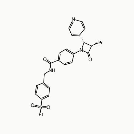 CCS(=O)(=O)c1ccc(CNC(=O)c2ccc(N3C(=O)[C@H](C(C)C)[C@H]3c3ccncc3)cc2)cc1